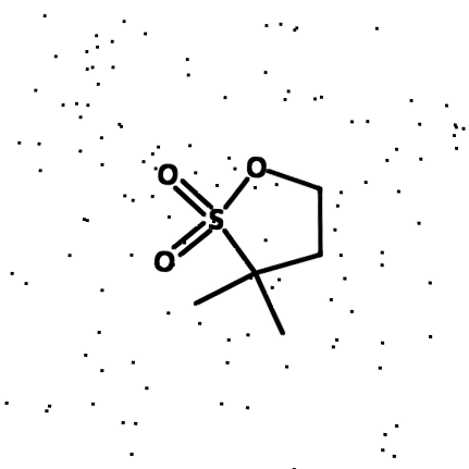 CC1(C)CCOS1(=O)=O